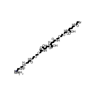 N/N=C(\N)CNCC(=O)NSCCCC(=O)NCCOCCOCC(=O)NC(CCC(=O)NC(CCC(=O)NCCOCCOCC(=O)NC(CCCCNC(=O)CBr)C(=O)O)C(=O)O)C(=O)O